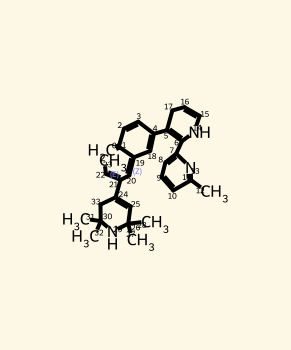 C=c1ccc(C2=C(c3cccc(C)n3)NC=CC2)c/c1=C/C(=C\C)C1=CC(C)(C)NC(C)(C)C1